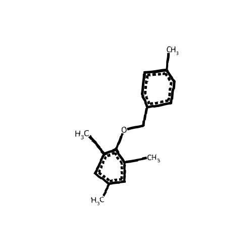 Cc1ccc(COc2c(C)cc(C)cc2C)cc1